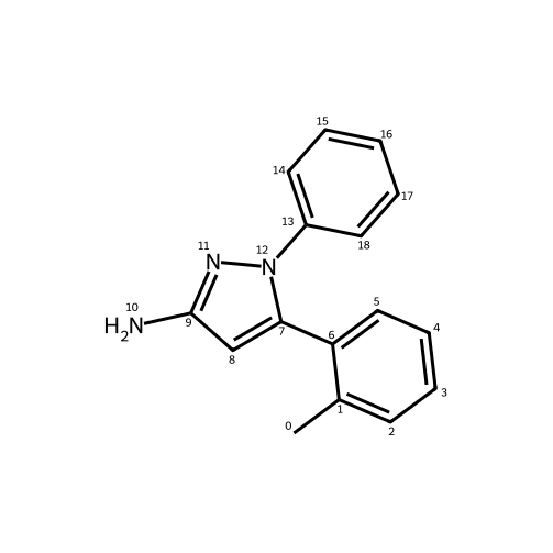 Cc1ccccc1-c1cc(N)nn1-c1ccccc1